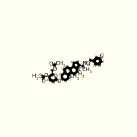 CC(=O)OC[C@H]1OC(OC2CC[C@@]3(C)C(=CCC4C3CC[C@@]3(C)C4CC[C@@H]3/C(C)=N/OCc3cccc(Cl)c3)C2)C=C[C@@H]1OC(C)=O